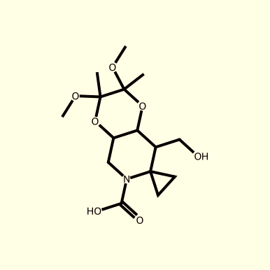 COC1(C)OC2CN(C(=O)O)C3(CC3)C(CO)C2OC1(C)OC